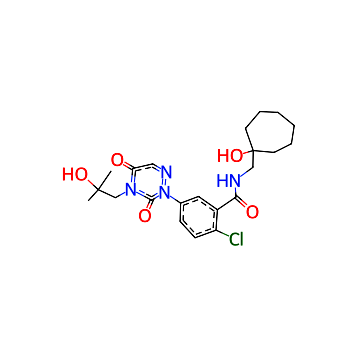 CC(C)(O)Cn1c(=O)cnn(-c2ccc(Cl)c(C(=O)NCC3(O)CCCCCC3)c2)c1=O